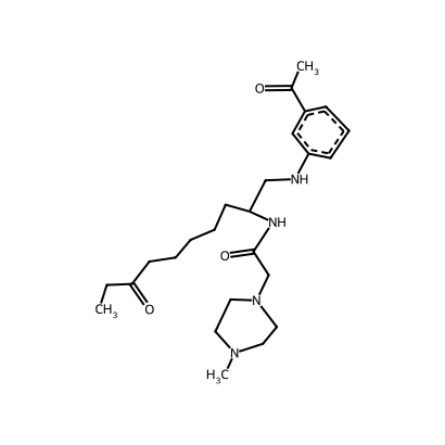 CCC(=O)CCCCCC(CNc1cccc(C(C)=O)c1)NC(=O)CN1CCN(C)CC1